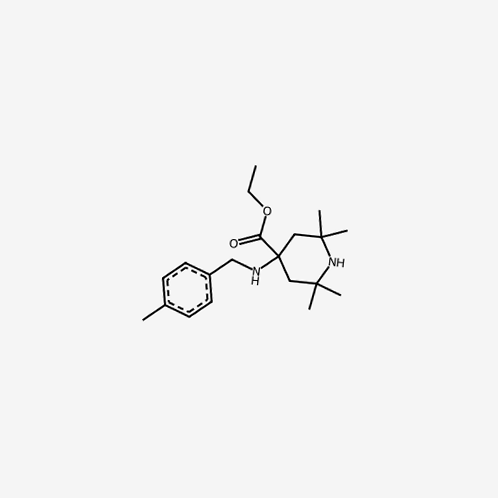 CCOC(=O)C1(NCc2ccc(C)cc2)CC(C)(C)NC(C)(C)C1